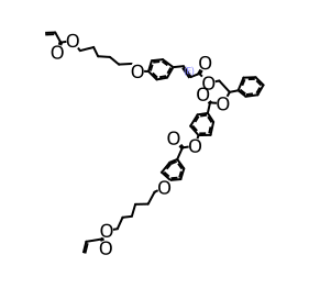 C=CC(=O)OCCCCCCOc1ccc(/C=C/C(=O)OCC(OC(=O)c2ccc(OC(=O)c3ccc(OCCCCCCOC(=O)C=C)cc3)cc2)c2ccccc2)cc1